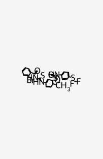 Cc1ccc(NC(=S)NC(=O)c2ccccc2Br)cc1S(=O)(=O)Nc1ccc(SC(F)F)cc1